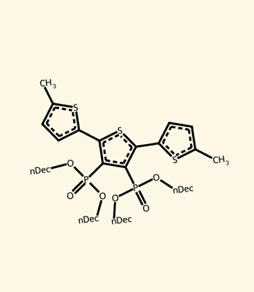 CCCCCCCCCCOP(=O)(OCCCCCCCCCC)c1c(-c2ccc(C)s2)sc(-c2ccc(C)s2)c1P(=O)(OCCCCCCCCCC)OCCCCCCCCCC